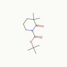 CC(C)(C)OC(=O)N1CCCC(C)(C)C1=O